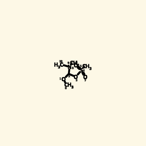 COC(OS(C)(=O)=O)N(C)C